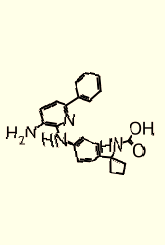 Nc1ccc(-c2ccccc2)nc1Nc1ccc(C2(NC(=O)O)CCC2)cc1